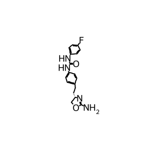 NC1=N[C@@H](CCc2ccc(NC(=O)Nc3ccc(F)cc3)cc2)CO1